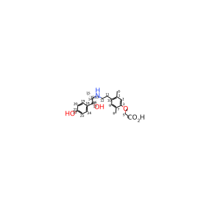 Cc1cc(OCC(=O)O)c(C)cc1CCN[C@@H](C)[C@H](O)c1ccc(O)cc1